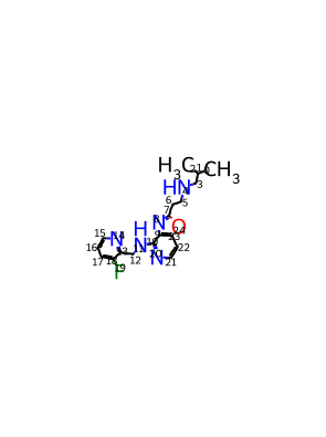 CC(C)CNCCc1nc2c(NCc3ncccc3F)nccc2o1